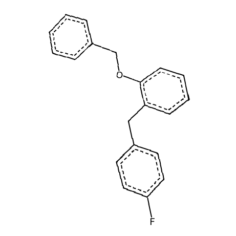 Fc1ccc(Cc2ccccc2OCc2ccccc2)cc1